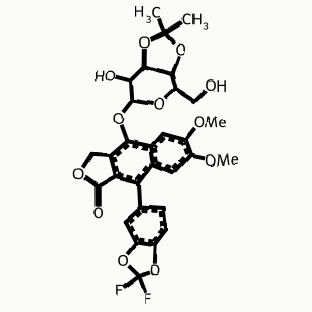 COc1cc2c(OC3OC(CO)C4OC(C)(C)OC4C3O)c3c(c(-c4ccc5c(c4)OC(F)(F)O5)c2cc1OC)C(=O)OC3